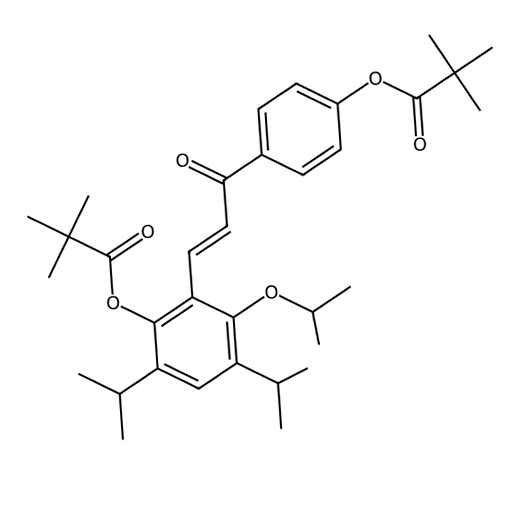 CC(C)Oc1c(C(C)C)cc(C(C)C)c(OC(=O)C(C)(C)C)c1C=CC(=O)c1ccc(OC(=O)C(C)(C)C)cc1